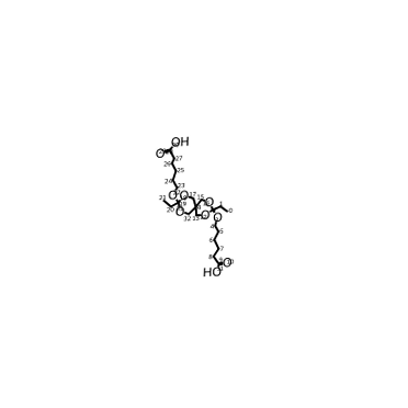 CCC1(OCCCCCC(=O)O)OCC2(CO1)COC(CC)(OCCCCCC(=O)O)OC2